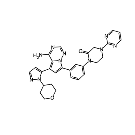 Nc1ncnn2c(-c3cccc(N4CCN(c5ncccn5)CC4=O)c3)cc(-c3ccnn3C3CCOCC3)c12